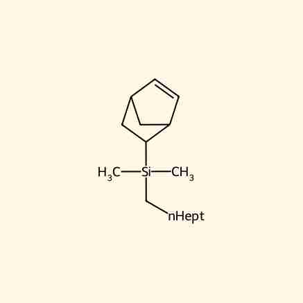 CCCCCCCC[Si](C)(C)C1CC2C=CC1C2